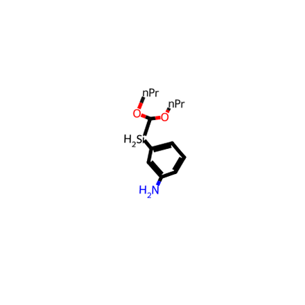 CCCOC(OCCC)[SiH2]c1cccc(N)c1